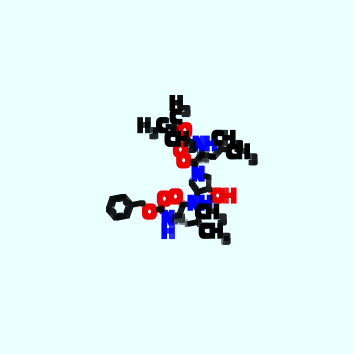 CC(C)C[C@H](NC(=O)OCc1ccccc1)C(=O)NC1CN(C(=O)[C@H](CC(C)C)NC(=O)OC(C)(C)C)CC1O